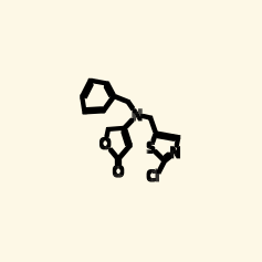 O=C1C=C(N(Cc2ccccc2)Cc2cnc(Cl)s2)CO1